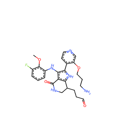 COc1c(F)cccc1Nc1c(-c2ccncc2OCCCN)[nH]c2c1C(=O)NCC2CCC=O